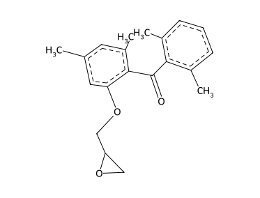 Cc1cc(C)c(C(=O)c2c(C)cccc2C)c(OCC2CO2)c1